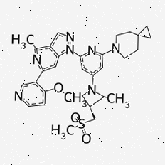 COc1ccncc1-c1cc2c(cnn2-c2cc(N3C[C@H](CS(C)(=O)=O)[C@H]3C)cc(N3CCC4(CC3)CC4)n2)c(C)n1